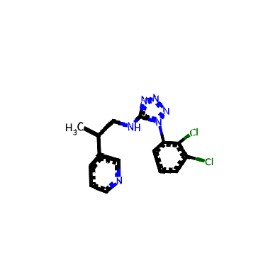 CC(CNc1nnnn1-c1cccc(Cl)c1Cl)c1cccnc1